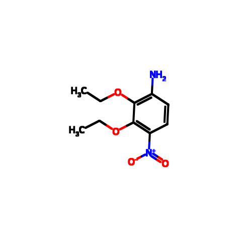 CCOc1c(N)ccc([N+](=O)[O-])c1OCC